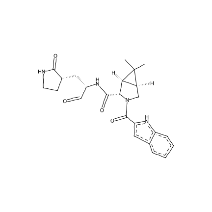 CC1(C)[C@@H]2[C@@H](C(=O)N[C@H](C=O)C[C@@H]3CCNC3=O)N(C(=O)c3cc4ccccc4[nH]3)C[C@@H]21